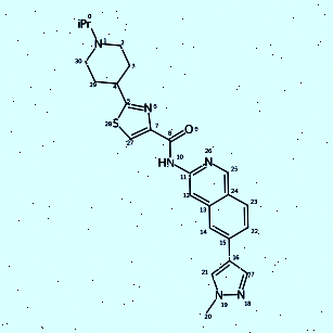 CC(C)N1CCC(c2nc(C(=O)Nc3cc4cc(-c5cnn(C)c5)ccc4cn3)cs2)CC1